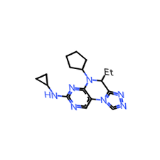 CCC1c2nncn2-c2cnc(NC3CC3)nc2N1C1CCCC1